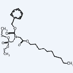 CCCCCCCCCCOC(=O)CN(CP(=O)(OSC)OSC)C(=O)OCc1ccccc1